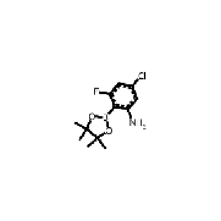 CC1(C)OB(c2c(N)cc(Cl)cc2F)OC1(C)C